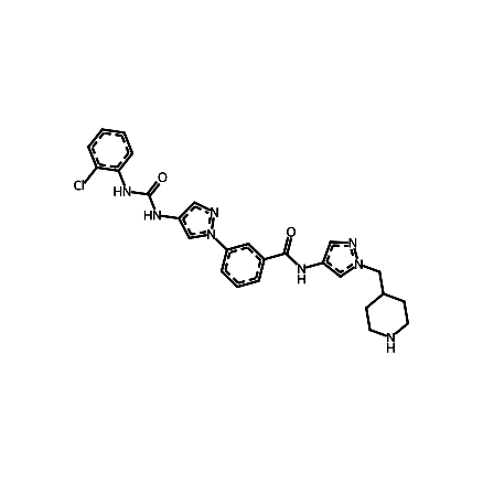 O=C(Nc1cnn(-c2cccc(C(=O)Nc3cnn(CC4CCNCC4)c3)c2)c1)Nc1ccccc1Cl